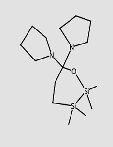 C[Si]1(C)CCC(N2CCCC2)(N2CCCC2)O[Si]1(C)C